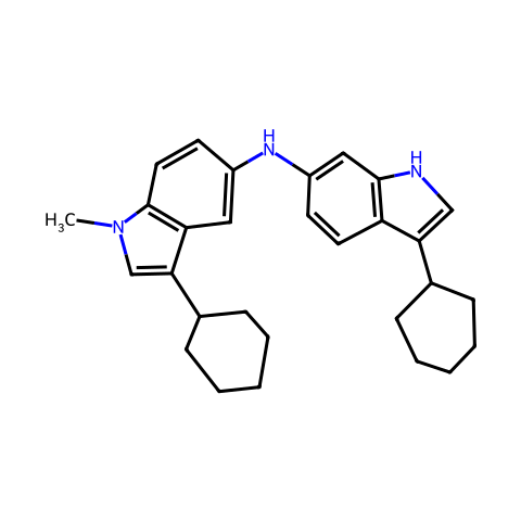 Cn1cc(C2CCCCC2)c2cc(Nc3ccc4c(C5CCCCC5)c[nH]c4c3)ccc21